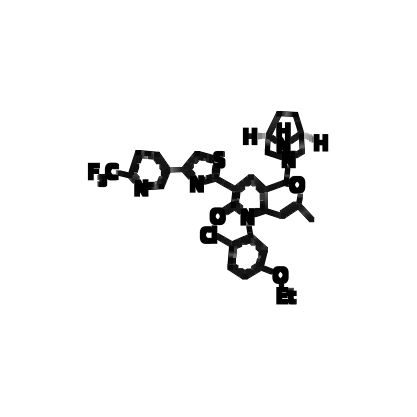 CCOc1ccc(Cl)c(-n2c(C=C(C)C)c(C(=O)N3C[C@H]4CC[C@@H](C3)N4)cc(-c3nc(-c4ccc(C(F)(F)F)nc4)cs3)c2=O)c1